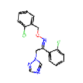 Clc1ccccc1CON=C(Cn1cncn1)c1ccccc1Cl